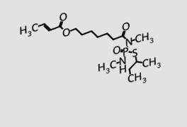 CC=CC(=O)OCCCCCCC(=O)N(C)P(=O)(NC)SC(C)CC